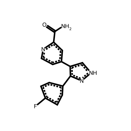 NC(=O)c1cc(-c2c[nH]nc2-c2ccc(F)cc2)ccn1